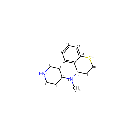 CN(C1CCNCC1)[C@H]1CCSc2ccccc21